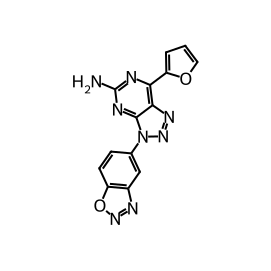 Nc1nc(-c2ccco2)c2nnn(-c3ccc4onnc4c3)c2n1